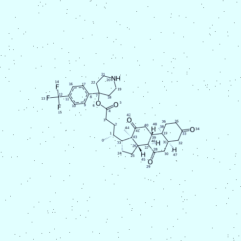 C[C@H](CCC(=O)OC1(c2ccc(C(F)(F)F)cc2)CCNCC1)[C@H]1CC[C@H]2[C@@H]3C(=O)C[C@@H]4CC(=O)CC[C@]4(C)[C@H]3CC(=O)[C@]12C